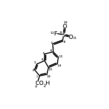 O=C(O)c1ccc2cc(C=CS(=O)(=O)F)ccc2c1